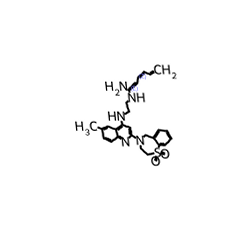 C=C/C=C\C=C(/N)NCCNc1cc(N2CCS(=O)(=O)c3ccccc3C2)nc2ccc(C)cc12